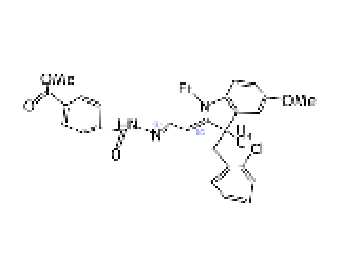 CCN1/C(=C\C=N\NC(=O)c2ccc(C(=O)OC)cc2)C(C)(Cc2ccccc2Cl)c2cc(OC)ccc21